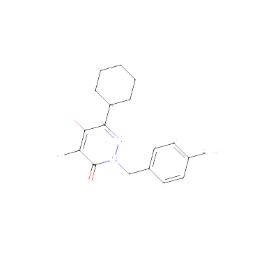 CCOC(=O)c1c(O)c(C2CCCCC2)nn(Cc2ccc(C(C)(C)C)cc2)c1=O